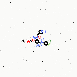 COCCOc1cc2ncnc(Nc3ccc(F)c(Cl)c3)c2cc1NC(=O)C=C1CCNCC1